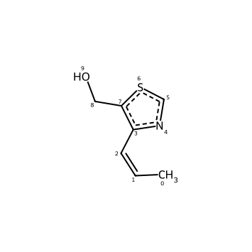 C/C=C\c1ncsc1CO